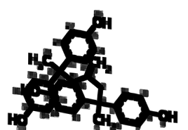 C=C(CC(C)(c1ccc(O)cc1)c1ccc(O)cc1)CC(C)(c1ccc(O)cc1)c1ccc(O)cc1